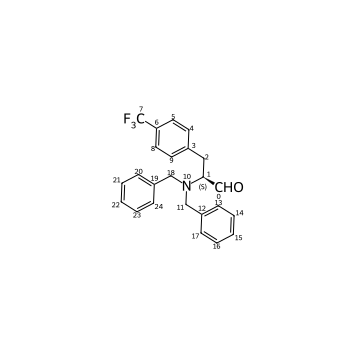 O=C[C@H](Cc1ccc(C(F)(F)F)cc1)N(Cc1ccccc1)Cc1ccccc1